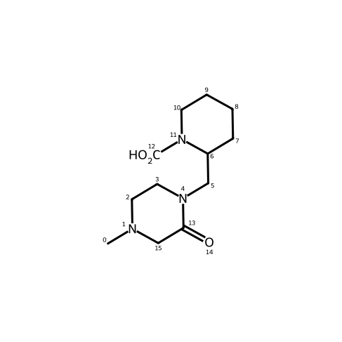 CN1CCN(CC2CCCCN2C(=O)O)C(=O)C1